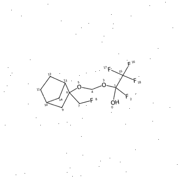 OC(F)(OCOC1(CF)CC2CCC1C2)C(F)(F)F